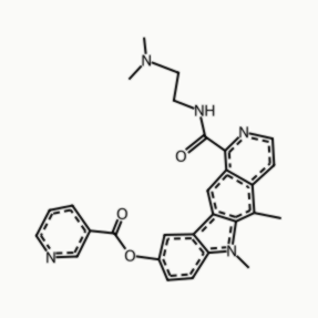 Cc1c2ccnc(C(=O)NCCN(C)C)c2cc2c3cc(OC(=O)c4cccnc4)ccc3n(C)c12